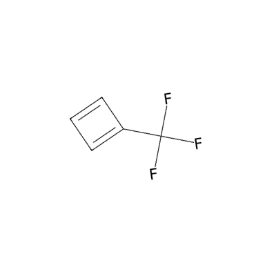 FC(F)(F)C1=CC=C1